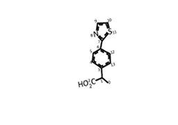 CC(C(=O)O)c1ccc(-c2nccs2)cc1